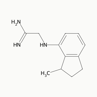 CC1CCc2cccc(NCC(=N)N)c21